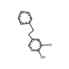 Oc1n[c]c(CCc2ccccc2)cc1Cl